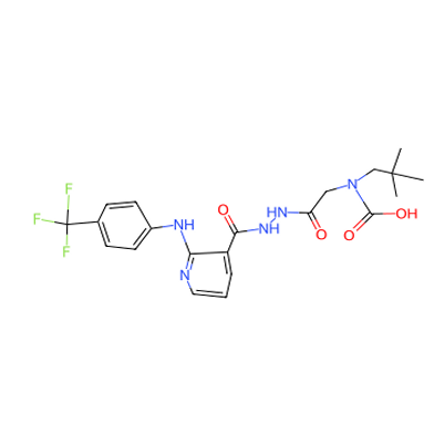 CC(C)(C)CN(CC(=O)NNC(=O)c1cccnc1Nc1ccc(C(F)(F)F)cc1)C(=O)O